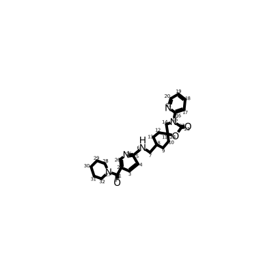 O=C(c1ccc(NCC2CCC3(CC2)CN(c2ccccn2)C(=O)O3)nc1)N1CCCCC1